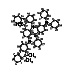 CC1(C)c2ccccc2-c2ccc(N3c4ccccc4B4c5ccc(N(c6ccccc6)c6ccccc6)cc5N5c6cccc7c6C(C)(c6ccccc6-7)c6ccc3c4c65)cc21